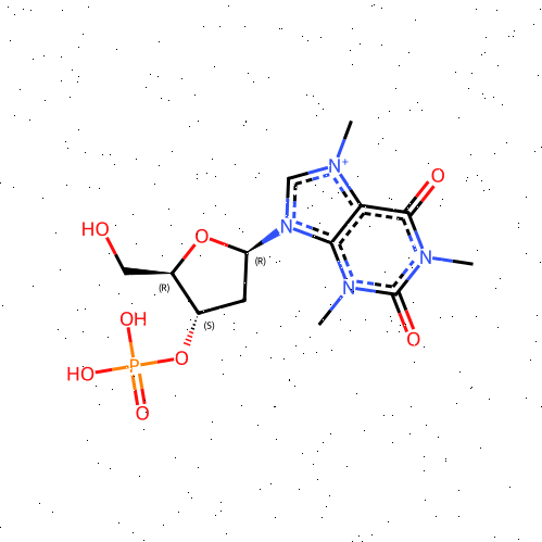 Cn1c(=O)c2c(n([C@H]3C[C@H](OP(=O)(O)O)[C@@H](CO)O3)c[n+]2C)n(C)c1=O